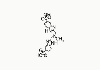 CN(Cc1nc2cc(S(=O)(=O)O)ccc2[nH]1)Cc1nc2cc(S(=O)(=O)O)ccc2[nH]1